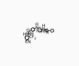 N#Cc1ccc(NNC(=O)c2ccc(Nc3nccc(Nc4cc(C5CCCC5)n[nH]4)n3)cc2)c(C(F)(F)F)c1